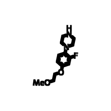 COCCOc1ccc(N2CCNCC2)c(F)c1